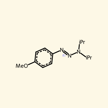 COc1ccc(/N=N/N(C(C)C)C(C)C)cc1